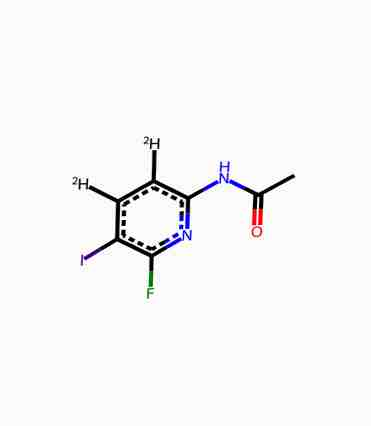 [2H]c1c(NC(C)=O)nc(F)c(I)c1[2H]